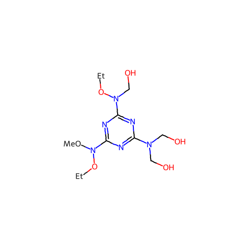 CCON(CO)c1nc(N(CO)CO)nc(N(OC)OCC)n1